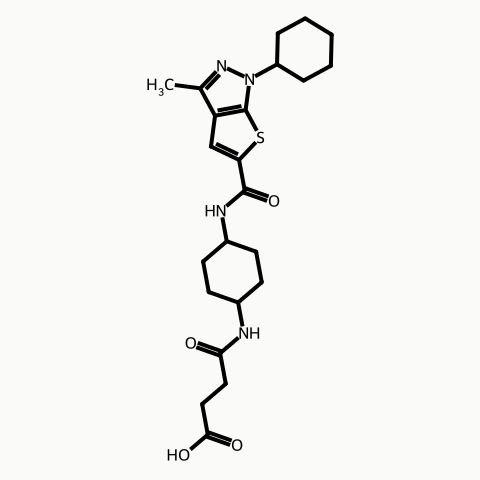 Cc1nn(C2CCCCC2)c2sc(C(=O)NC3CCC(NC(=O)CCC(=O)O)CC3)cc12